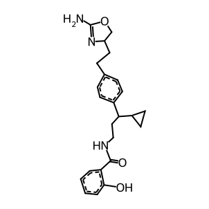 NC1=NC(CCc2ccc(C(CCNC(=O)c3ccccc3O)C3CC3)cc2)CO1